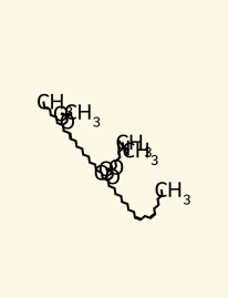 CCCCC/C=C\C/C=C\CCCCCCCCC(COCCCCCCCCC=CCC(CCCCCC)OC(C)=O)OC(=O)OCCCN(C)C